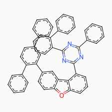 c1ccc(-c2ccc(-c3ccccc3)c(-c3ccc4oc5cccc(-c6nc(-c7ccccc7)nc(-c7ccccc7-c7ccccc7)n6)c5c4c3)c2)cc1